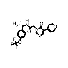 C[C@H](NC(=O)Cn1cncc(C2=CCOCC2)c1=O)c1ccc(OC(F)(F)F)cc1